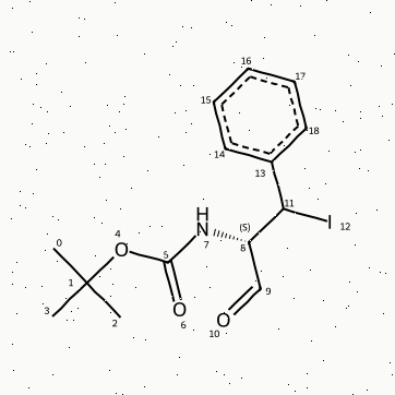 CC(C)(C)OC(=O)N[C@@H](C=O)C(I)c1ccccc1